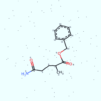 CC(CCC(N)=O)C(=O)OCc1ccccc1